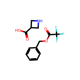 O=C(O)C1CNC1.O=C(OCc1ccccc1)C(F)(F)F